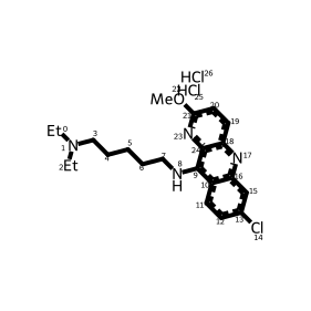 CCN(CC)CCCCCNc1c2ccc(Cl)cc2nc2ccc(OC)nc12.Cl.Cl